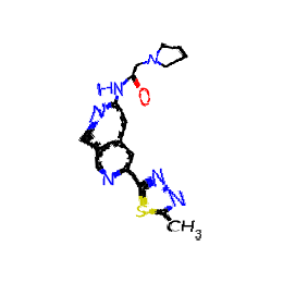 Cc1nnc(-c2cc3cc(NC(=O)CN4CCCC4)ncc3cn2)s1